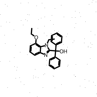 CCOc1cccc2nc(C(O)(c3ccccc3)c3ccccc3)n(CC)c12